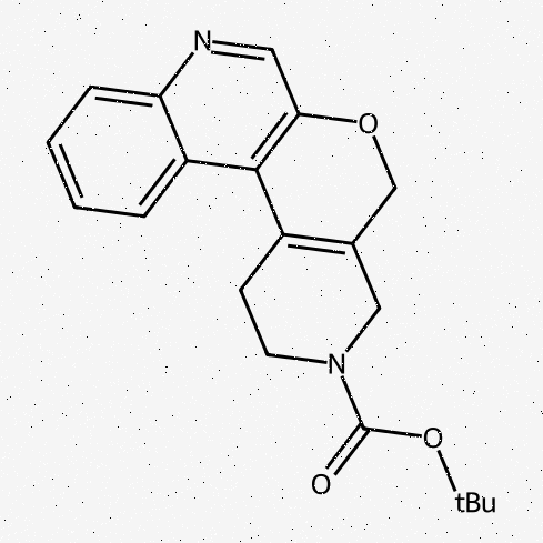 CC(C)(C)OC(=O)N1CCC2=C(COc3cnc4ccccc4c32)C1